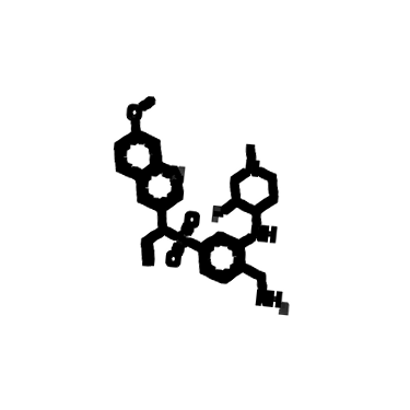 C=CC(c1cnc2cc(OC)ccc2c1)S(=O)(=O)c1ccc(CN)c(NC2CCN(C)CC2F)c1